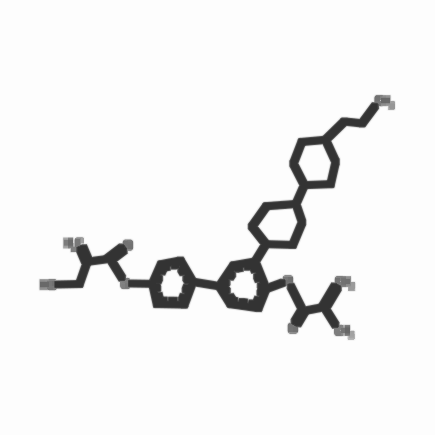 C=C(C)C(=O)Oc1ccc(-c2ccc(OC(=O)C(=C)CO)cc2)cc1C1CCC(C2CCC(CCC)CC2)CC1